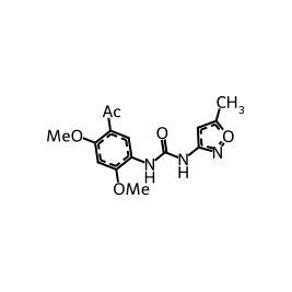 COc1cc(OC)c(C(C)=O)cc1NC(=O)Nc1cc(C)on1